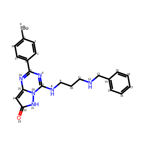 CC(C)(C)c1ccc(-c2nc(NCCCNCc3ccccc3)n3[nH]c(=O)cc3n2)cc1